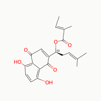 CC=C(C)C(=O)O[C@@H](CC=C(C)C)C1=CC(=O)c2c(O)ccc(O)c2C1=O